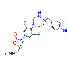 CC(=O)NC[C@H]1CN(c2cc(F)c(N3CCNN(Cc4ccc(N)cc4)CC3)c(F)c2)C(=O)O1